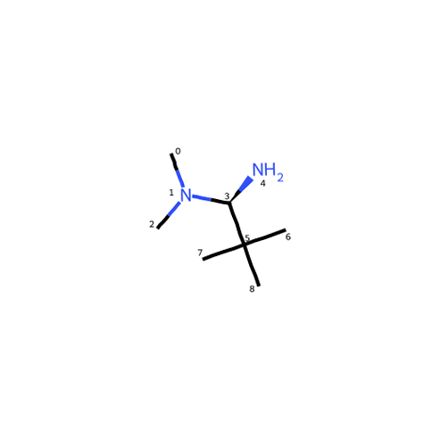 CN(C)[C@@H](N)C(C)(C)C